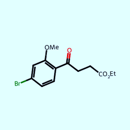 CCOC(=O)CCC(=O)c1ccc(Br)cc1OC